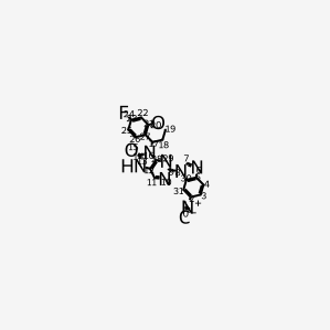 [C-]#[N+]c1ccc2ncn(-c3ncc4[nH]c(=O)n([C@@H]5CCOc6cc(F)ccc65)c4n3)c2c1